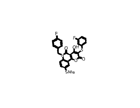 CSc1ccc2c(c1)c1oc(=O)c(Sc3cccc(F)c3)c(O)c1c(=O)n2Cc1ccc(F)cc1